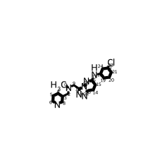 CN(Cc1cccnc1)Cc1nnc2ccc(Nc3cccc(Cl)c3)nn12